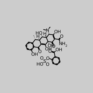 C[C@H]1c2cccc(O)c2C(=O)C2=C(O)[C@]3(O)C(=O)C(C(N)=O)=C(O)[C@@H](N(C)C)[C@H]3[C@@H](O)[C@@H]21.O=C(O)c1ccccc1OS(=O)(=O)O